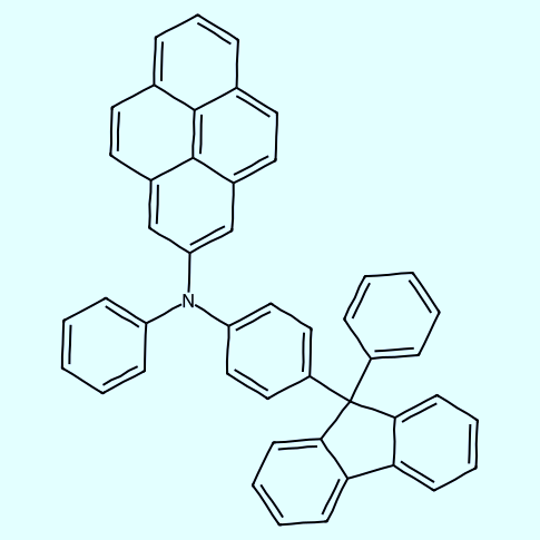 c1ccc(N(c2ccc(C3(c4ccccc4)c4ccccc4-c4ccccc43)cc2)c2cc3ccc4cccc5ccc(c2)c3c45)cc1